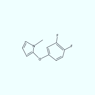 Cn1[c]ccc1Oc1ccc(F)c(F)c1